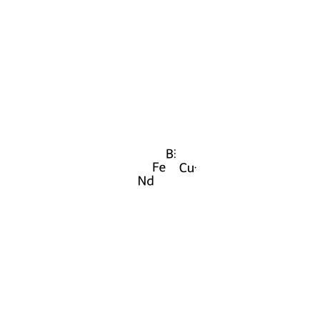 [B].[Cu].[Fe].[Nd]